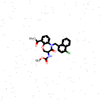 COC(=O)c1cccc2c1OCC(NC(=O)OC(C)(C)C)C(=O)N2Cc1ccc(Br)c2ccccc12